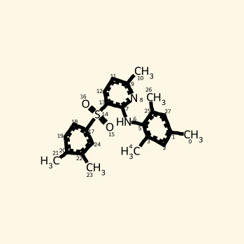 Cc1cc(C)c(Nc2nc(C)ccc2S(=O)(=O)c2ccc(C)c(C)c2)c(C)c1